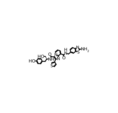 Nc1nc2ccc(CNC(=O)c3cccn4c(C(=O)N[C@H](CO)Cc5ccc(O)cc5)c(-c5ccsc5)nc34)cc2s1